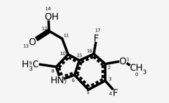 COc1c(F)cc2[nH]c(C)c(CC(=O)O)c2c1F